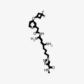 CNC(=O)c1cn(CCCC/C(N)=C/C=C(\N)NC(=O)Cc2cc(OC3CC(F)(F)C3)ccn2)nn1